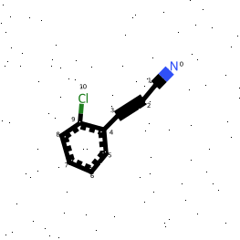 N#CC#Cc1ccccc1Cl